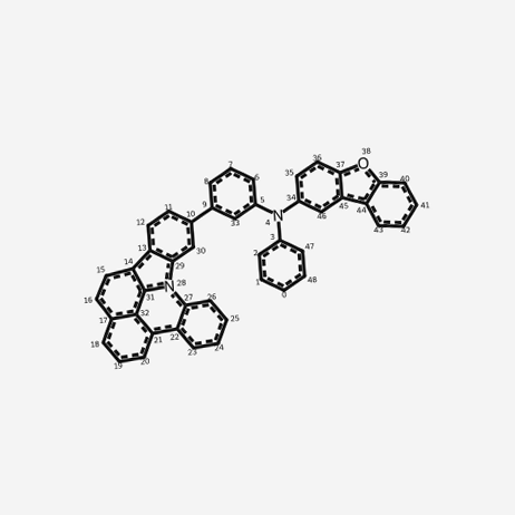 c1ccc(N(c2cccc(-c3ccc4c5ccc6cccc7c8ccccc8n(c4c3)c5c67)c2)c2ccc3oc4ccccc4c3c2)cc1